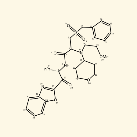 CCC[C@H](NC(=O)C(CS(=O)(=O)Cc1ccccc1)N(CCOC)C1CCOCC1)C(=O)c1nc2ccccc2o1